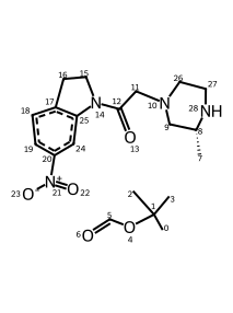 CC(C)(C)OC=O.C[C@@H]1CN(CC(=O)N2CCc3ccc([N+](=O)[O-])cc32)CCN1